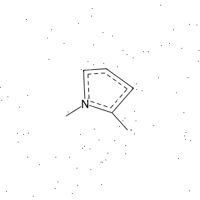 [CH2]c1cccn1C